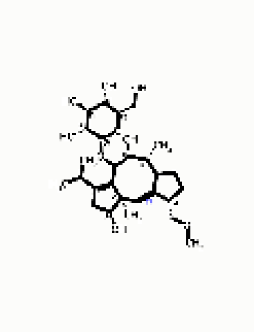 COC[C@H]1CCC2/C1=C\[C@]1(C)C(=C(C(C)C)C[C@@H]1O)C(O[C@@H]1O[C@H](CO)[C@@H](O)[C@H](O)[C@H]1O)[C@H](O)[C@@H]2C